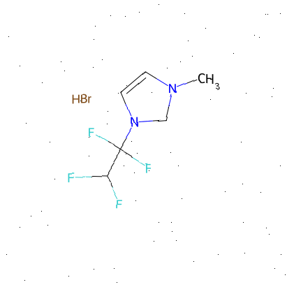 Br.CN1C=CN(C(F)(F)C(F)F)C1